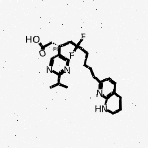 CC(C)c1ncc([C@H](CC(=O)O)CC(F)(F)CCCCc2ccc3c(n2)NCCC3)cn1